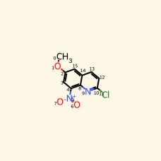 COc1cc([N+](=O)[O-])c2nc(Cl)ccc2c1